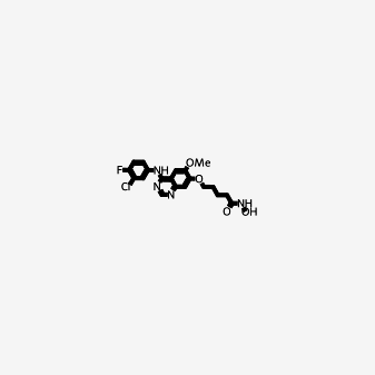 COc1cc2c(Nc3ccc(F)c(Cl)c3)ncnc2cc1OCCCCC(=O)NO